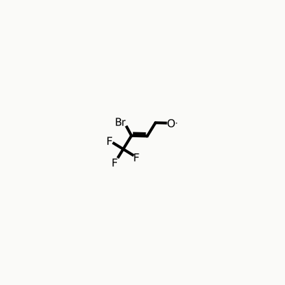 [O]C/C=C(\Br)C(F)(F)F